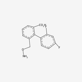 NOCc1cccc(C(=O)O)c1-c1ccc(F)cc1F